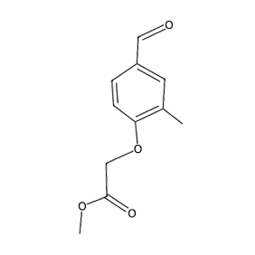 COC(=O)COc1ccc(C=O)cc1C